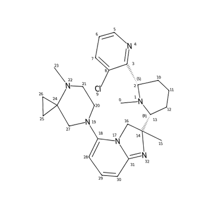 CN1[C@H](c2ncccc2Cl)CCC[C@@H]1C1(C)CN2C(N3CCN(C)C4(CC4)C3)=CC=CC2=N1